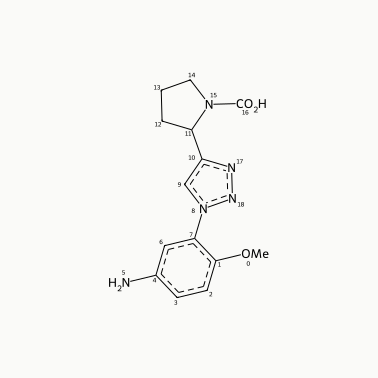 COc1ccc(N)cc1-n1cc(C2CCCN2C(=O)O)nn1